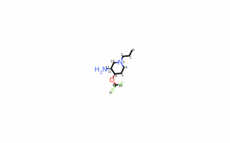 CCCN1CC[C@@H](OC(F)F)[C@@H](N)C1